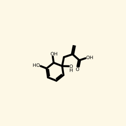 C=C(CC1(O)C=CC=C(O)C1O)C(=O)O